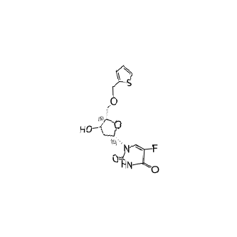 O=c1[nH]c(=O)n([C@@H]2CC(O)[C@H](COCc3cccs3)O2)cc1F